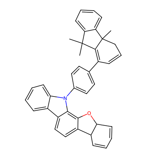 CC1(C)C2=C(c3ccc(-n4c5ccccc5c5ccc6c(c54)OC4C=CC=CC64)cc3)C=CCC2(C)c2ccccc21